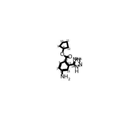 Nc1ccc(C(=O)OC2CCCC2)c(-c2nnn[nH]2)c1